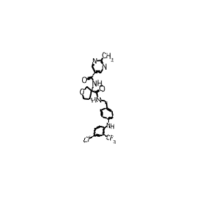 Cc1ncc(C(=O)N[C@@]2(C(=O)NCc3ccc(Nc4ccc(Cl)cc4C(F)(F)F)cc3)CCOC2)cn1